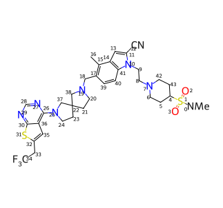 CNS(=O)(=O)C1CCN(CCn2c(C#N)cc3c(C)c(CN4CCC5(CCN(c6ncnc7sc(CC(F)(F)F)cc67)C5)C4)ccc32)CC1